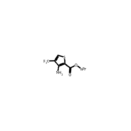 CCCOC(=O)c1scc(C(F)(F)F)c1N